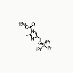 CC(C)[Si](OCc1cn(C(=O)OC(C)(C)C)c(I)n1)(C(C)C)C(C)C